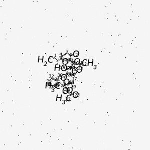 C=CC[C@@H]1C=CC(=O)[C@@H]([C@@H](OC(C)=O)[C@@H]2O[C@H](C[C@H](COC(C)=O)OC(C)=O)[C@H](OCc3ccccc3)[C@H]2O)O1